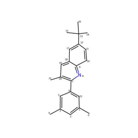 Cc1cc(C)cc(-c2nc3ccc(C(C)(C)C)cc3cc2C)c1